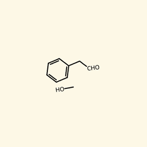 CO.O=CCc1ccccc1